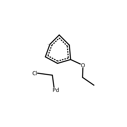 CCOc1cc[c]cc1.Cl[CH2][Pd]